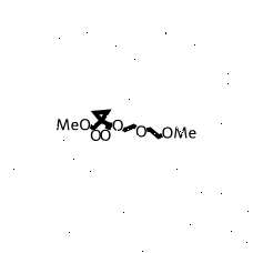 COCCOCCOC(=O)C1(C(=O)OC)CC1